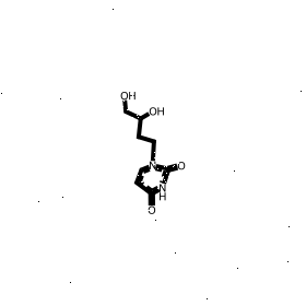 O=c1ccn(CCC(O)CO)c(=O)[nH]1